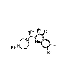 CCCC(c1nc2cc(Br)c(F)cc2c(=O)n1CCC)N1CCCN(CC)CC1